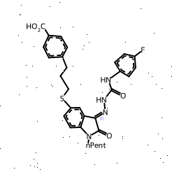 CCCCCN1C(=O)/C(=N/NC(=O)Nc2ccc(F)cc2)c2cc(SCCCc3ccc(C(=O)O)cc3)ccc21